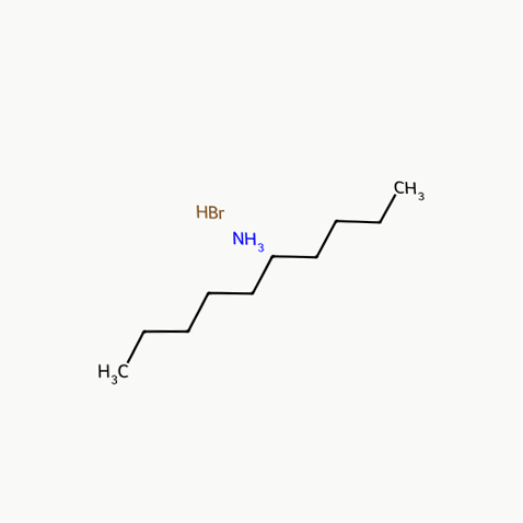 Br.CCCCCCCCCC.N